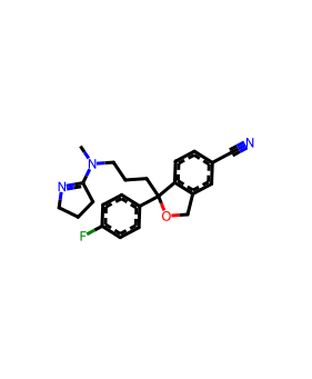 CN(CCCC1(c2ccc(F)cc2)OCc2cc(C#N)ccc21)C1=NCCC1